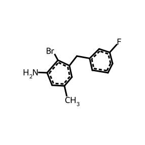 Cc1cc(N)c(Br)c(Cc2cccc(F)c2)c1